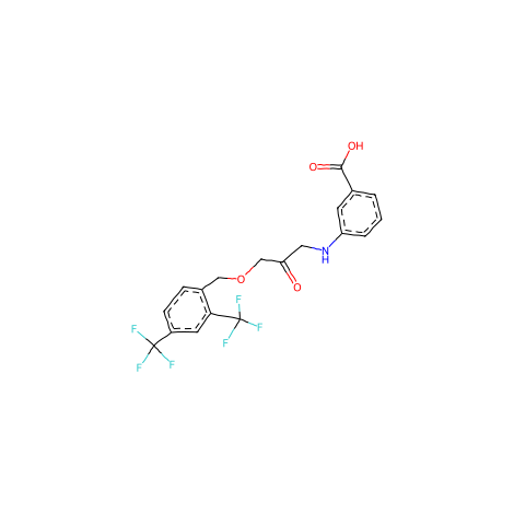 O=C(CNc1cccc(C(=O)O)c1)COCc1ccc(C(F)(F)F)cc1C(F)(F)F